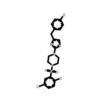 O=S(=O)(c1cc(Cl)ccc1Cl)N1CCN(c2nc(Cc3ccc(Cl)cc3)cs2)CC1